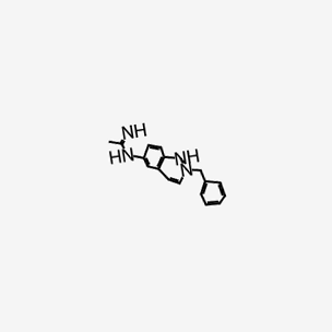 CC(=N)Nc1ccc2c(c1)C=CN(Cc1ccccc1)N2